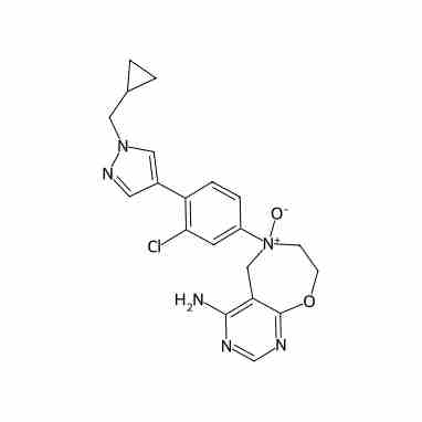 Nc1ncnc2c1C[N+]([O-])(c1ccc(-c3cnn(CC4CC4)c3)c(Cl)c1)CCO2